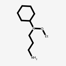 CCON(CCCN)C1CCCCC1